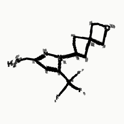 Nc1cc(C(F)(F)F)n(C2CC3(COC3)C2)n1